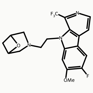 COc1cc2c(cc1F)c1ccnc(C(F)(F)F)c1n2CCN1CC2CC(C1)O2